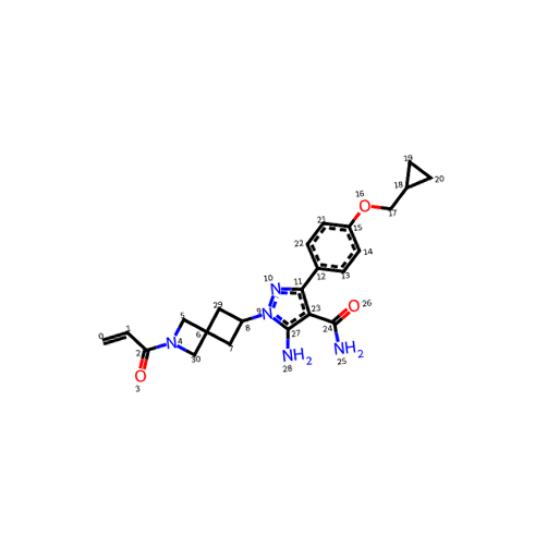 C=CC(=O)N1CC2(CC(n3nc(-c4ccc(OCC5CC5)cc4)c(C(N)=O)c3N)C2)C1